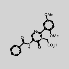 COc1ccc(OC)c(-c2ncc(NC(=O)c3ccccc3)c(=O)n2CC(=O)O)c1